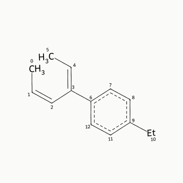 C/C=C\C(=C/C)c1ccc(CC)cc1